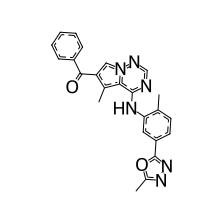 Cc1nnc(-c2ccc(C)c(Nc3ncnn4cc(C(=O)c5ccccc5)c(C)c34)c2)o1